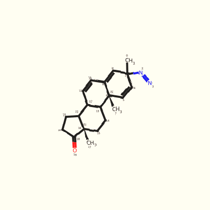 CC1(N=[N])C=C[C@@]2(C)C(=C1)C=CC1C2CC[C@]2(C)C(=O)CCC12